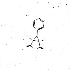 O=C1OC(=O)[C@H]2C(c3ccccc3)[C@@H]12